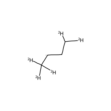 [2H]C([2H])C[CH]C([2H])([2H])[2H]